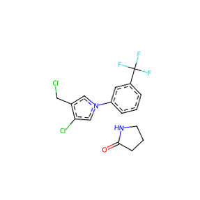 FC(F)(F)c1cccc(-n2cc(Cl)c(CCl)c2)c1.O=C1CCCN1